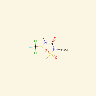 CON(C(=O)N(C)SC(F)(Cl)Cl)S(C)(=O)=O